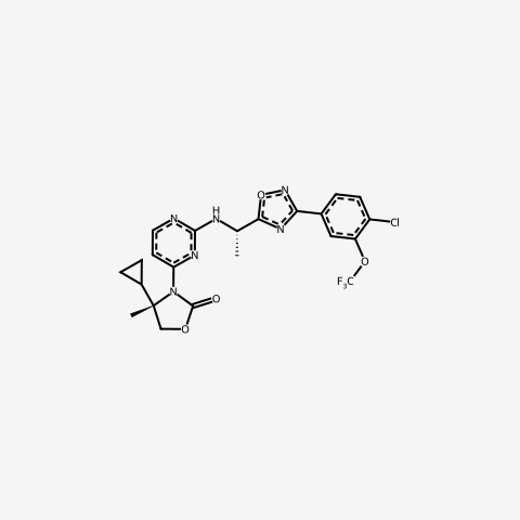 C[C@H](Nc1nccc(N2C(=O)OC[C@]2(C)C2CC2)n1)c1nc(-c2ccc(Cl)c(OC(F)(F)F)c2)no1